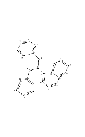 c1ccc(SC(Sc2ccccc2)c2cccc3ccccc23)cc1